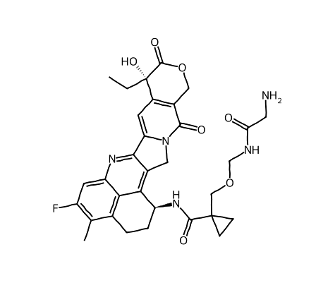 CC[C@@]1(O)C(=O)OCc2c1cc1n(c2=O)Cc2c-1nc1cc(F)c(C)c3c1c2[C@@H](NC(=O)C1(COCNC(=O)CN)CC1)CC3